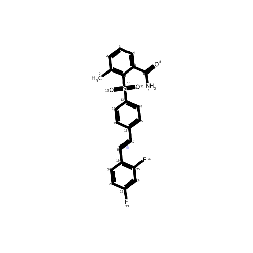 Cc1cccc(C(N)=O)c1S(=O)(=O)c1ccc(/C=C/c2ccc(F)cc2F)cc1